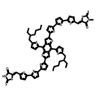 CCCCC(CC)Cc1ccc(-c2c3cc(-c4ccc(-c5ccc(-c6ccc(/C=C7\SC(=S)N(C)C7=O)s6)s5)s4)sc3c(-c3ccc(CC(CC)CCCC)s3)c3cc(-c4ccc(-c5ccc(-c6ccc(/C=C7\SC(=S)NC7=O)s6)s5)s4)sc23)s1